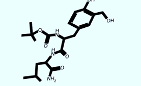 CC(C)CC(NC(=O)C(Cc1ccc(O)c(CO)c1)NC(=O)OC(C)(C)C)C(N)=O